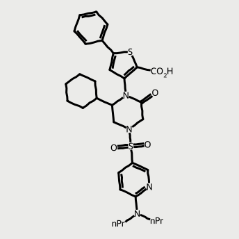 CCCN(CCC)c1ccc(S(=O)(=O)N2CC(=O)N(c3cc(-c4ccccc4)sc3C(=O)O)C(C3CCCCC3)C2)cn1